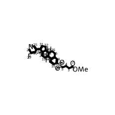 COC(=O)CCCS(=O)(=O)c1ccc2c(c1)CC[C@@H]1[C@@H]2CC[C@]2(C)C(c3cncc(F)c3)=CC[C@@H]12